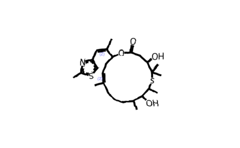 C/C1=C/CC(/C(C)=C\c2csc(C)n2)OC(=O)CC(O)C(C)(C)SC(C)C(O)C(C)CCC1